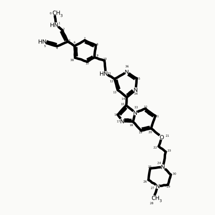 CN/C=C(\C=N)c1ccc(CNc2cc(-c3cnc4cc(OCCN5CCN(C)CC5)ccn34)ncn2)cc1